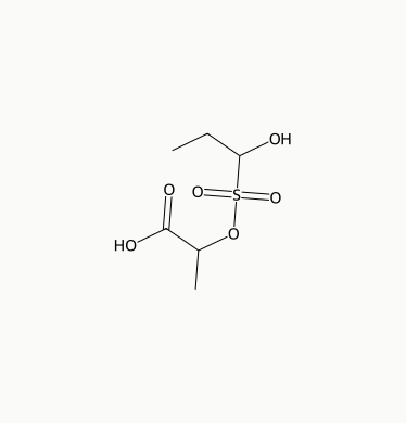 CCC(O)S(=O)(=O)OC(C)C(=O)O